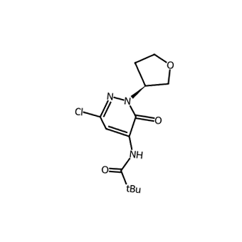 CC(C)(C)C(=O)Nc1cc(Cl)nn([C@H]2CCOC2)c1=O